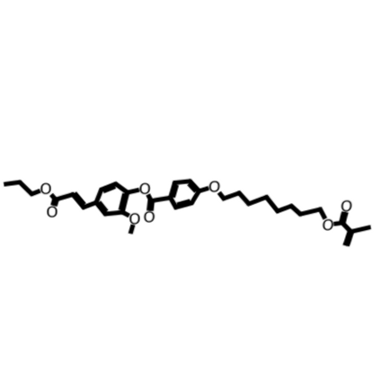 C=C(C)C(=O)OCCCCCCCCOc1ccc(C(=O)Oc2ccc(/C=C/C(=O)OCCC)cc2OC)cc1